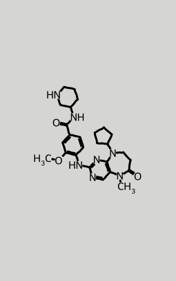 COc1cc(C(=O)NC2CCCNC2)ccc1Nc1ncc2c(n1)N(C1CCCC1)CCC(=O)N2C